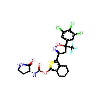 O=C(N[C@@H]1CCNC1=O)Oc1sc(C2=NOC(c3cc(Cl)c(Cl)c(Cl)c3)(C(F)(F)F)C2)c2c1CCCC2